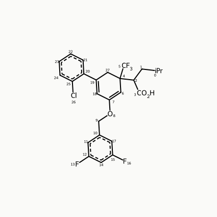 CC(C)CC(C(=O)O)C1(C(F)(F)F)C=C(OCc2cc(F)cc(F)c2)C=C(c2ccccc2Cl)C1